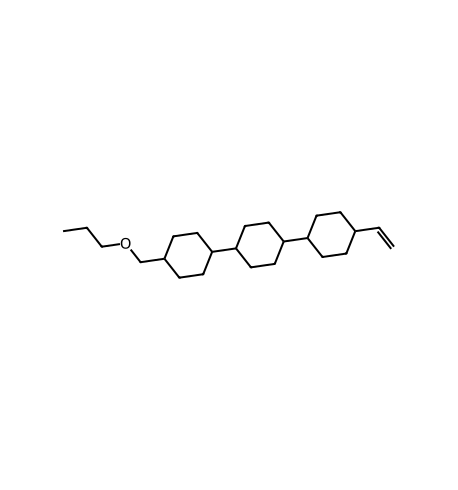 C=CC1CCC(C2CCC(C3CCC(COCCC)CC3)CC2)CC1